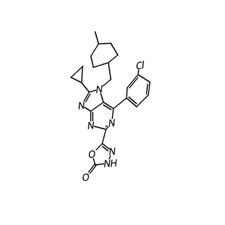 CC1CCC(Cn2c(C3CC3)nc3nc(-c4n[nH]c(=O)o4)nc(-c4cccc(Cl)c4)c32)CC1